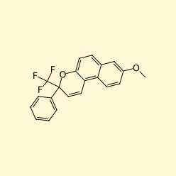 COc1ccc2c3c(ccc2c1)OC(c1ccccc1)(C(F)(F)F)C=C3